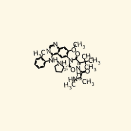 CN[C@@H](C)C(=O)N[C@H](C(=O)N(C(=O)[C@@H]1CCCN1)c1cc2c(Nc3ccccc3C)ncnc2cc1OC)C(C)(C)C